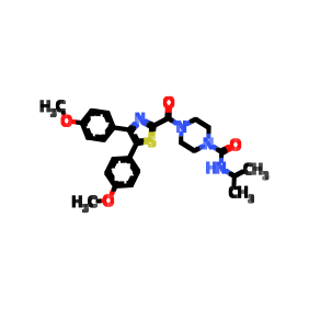 COc1ccc(-c2nc(C(=O)N3CCN(C(=O)NC(C)C)CC3)sc2-c2ccc(OC)cc2)cc1